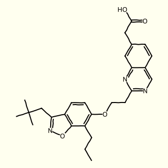 CCCc1c(OCCc2ncc3ccc(CC(=O)O)cc3n2)ccc2c(CC(C)(C)C)noc12